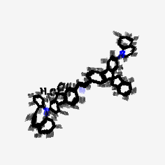 CC1(C)c2cc(/C=C/c3ccc4c(c3)C3(Cc5ccccc5C3)c3cc(N5CCCC6=C5CCC=C6)ccc3-4)ccc2-c2ccc(N3C4=C(C=CCC4)C=Cc4ccccc43)cc21